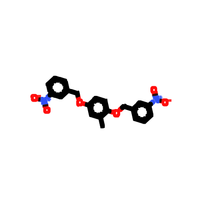 Cc1cc(OCc2cccc([N+](=O)[O-])c2)ccc1OCc1cccc([N+](=O)[O-])c1